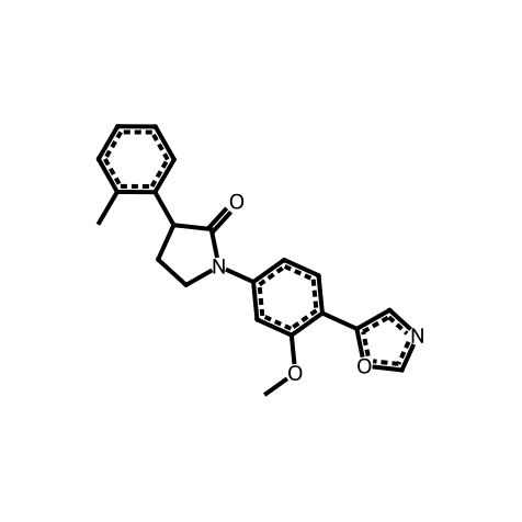 COc1cc(N2CCC(c3ccccc3C)C2=O)ccc1-c1cnco1